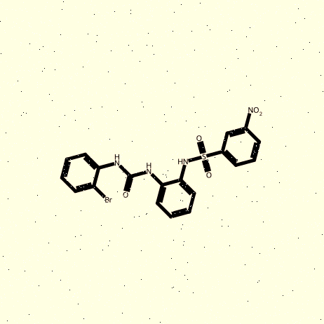 O=C(Nc1ccccc1Br)Nc1ccccc1NS(=O)(=O)c1cccc([N+](=O)[O-])c1